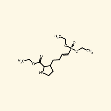 CCOC(=O)C1NCCC1CCC=CP(=O)(OCC)OCC